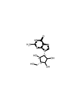 Nc1nc2c(ncn2[C@@H]2C(O)C(O)[C@H](CO)[C@H]2O)c(=O)[nH]1